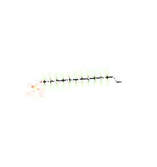 O=P(O)(O)OC(F)(F)C(F)(F)C(F)(F)C(F)(F)C(F)(F)C(F)(F)C(F)(F)C(F)(F)C(F)(F)C(F)(F)C(F)(F)CCC(F)(F)F